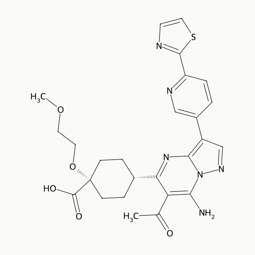 COCCO[C@]1(C(=O)O)CC[C@H](c2nc3c(-c4ccc(-c5nccs5)nc4)cnn3c(N)c2C(C)=O)CC1